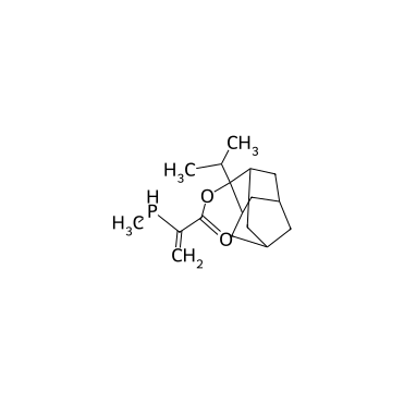 C=C(PC)C(=O)OC1(C(C)C)C2CC3CC(C2)CC1C3